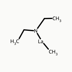 CC[N](CC)[La][CH3]